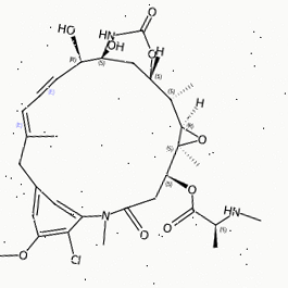 CN[C@@H](C)C(=O)O[C@H]1CC(=O)N(C)c2cc(cc(OC)c2Cl)C/C(C)=C/C=C/[C@@H](O)[C@@]2(O)C[C@H](OC(=O)N2)[C@H](C)[C@H]2O[C@@]12C